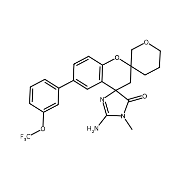 CN1C(=O)C2(CC3(CCCOC3)Oc3ccc(-c4cccc(OC(F)(F)F)c4)cc32)N=C1N